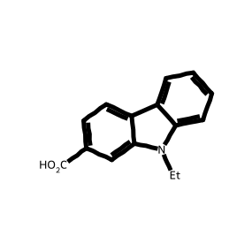 CCn1c2ccccc2c2ccc(C(=O)O)cc21